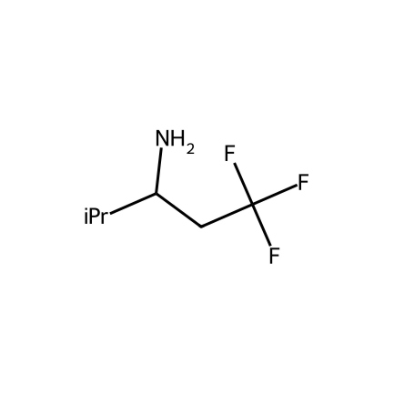 CC(C)C(N)CC(F)(F)F